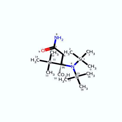 C[Si](C)(C)N([C@@](CC(N)=O)(C(=O)O)[Si](C)(C)C)[Si](C)(C)C